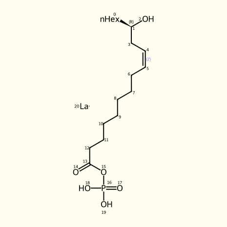 CCCCCC[C@@H](O)C/C=C\CCCCCCCC(=O)OP(=O)(O)O.[La]